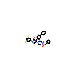 O=c1c(-c2ccc(C3CCCCC3)cc2)c(N2CCN(S(=O)(=O)Cc3ccccc3)CC2)cnn1-c1cc(F)cc(F)c1